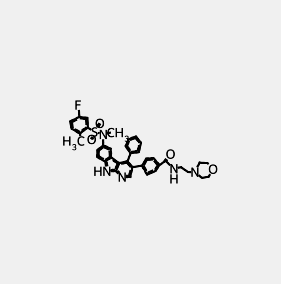 Cc1ccc(F)cc1S(=O)(=O)N(C)c1ccc2[nH]c3ncc(-c4ccc(C(=O)NCCN5CCOCC5)cc4)c(-c4ccccc4)c3c2c1